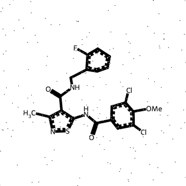 COc1c(Cl)cc(C(=O)Nc2snc(C)c2C(=O)NCc2ccccc2F)cc1Cl